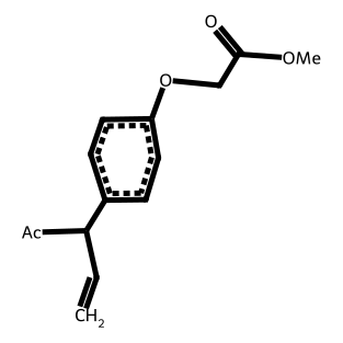 C=CC(C(C)=O)c1ccc(OCC(=O)OC)cc1